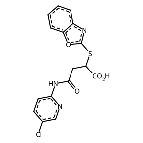 O=C(CC(Sc1nc2ccccc2o1)C(=O)O)Nc1ccc(Cl)cn1